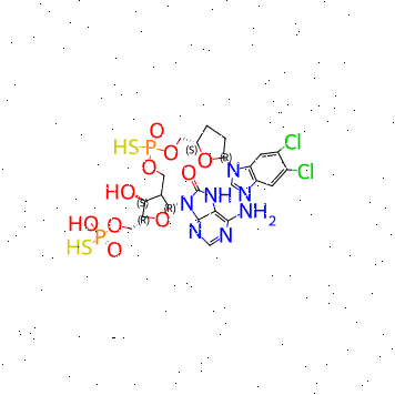 Nc1ncnc2c1[nH]c(=O)n2[C@@H]1O[C@H](COP(=O)(O)S)[C@@H](O)C1COP(=O)(S)OC[C@@H]1CC[C@H](n2cnc3cc(Cl)c(Cl)cc32)O1